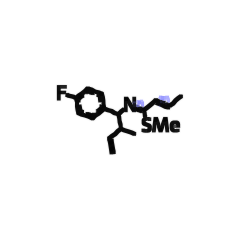 C=CC(C)C(/N=C(/C=C/C)SC)c1ccc(F)cc1